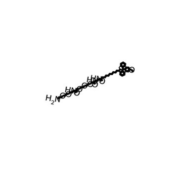 COc1ccc(C(SCCCCCCCCCCC(=O)NCNC(=O)COCCOCCOCC(=O)NCCOCCOCCN)(c2ccccc2)c2ccccc2)cc1